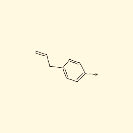 C=CCc1ccc(F)cc1